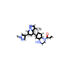 C=CC(=O)N1CCNc2cc(-c3cc(-c4cnn(C)c4)cn4ncc(C#N)c34)ccc21